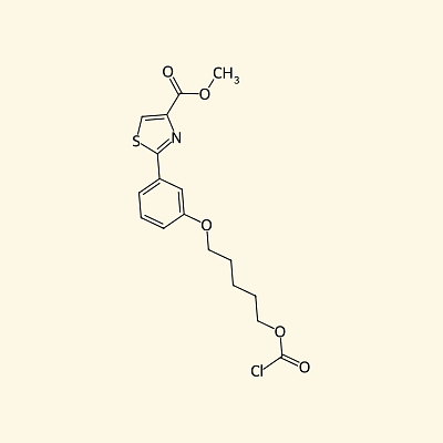 COC(=O)c1csc(-c2cccc(OCCCCCOC(=O)Cl)c2)n1